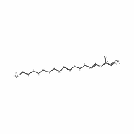 C=CC(=O)OC=CCCCCCCCCCCCCCC